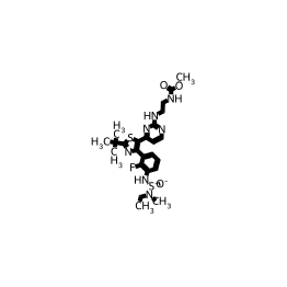 CCN(C)[S+]([O-])Nc1cccc(-c2nc(C(C)(C)C)sc2-c2ccnc(NCCNC(=O)OC)n2)c1F